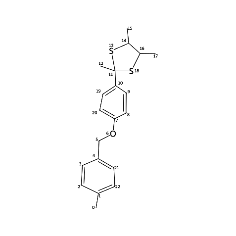 Cc1ccc(COc2ccc(C3(C)SC(C)C(C)S3)cc2)cc1